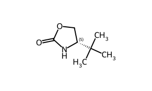 CC(C)(C)[C@H]1COC(=O)N1